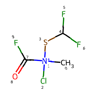 C[N+](Cl)(SC(F)F)C(=O)F